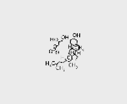 CC(C)CCC[C@@H](C)[C@H]1CC[C@H]2[C@@H]3CC=C4C[C@@H](O)CC[C@]4(C)[C@H]3CC[C@]12C.O=P(=O)OCC(O)CO